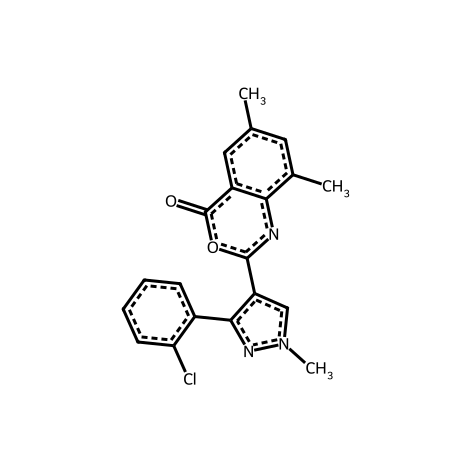 Cc1cc(C)c2nc(-c3cn(C)nc3-c3ccccc3Cl)oc(=O)c2c1